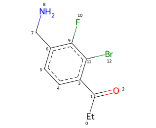 CCC(=O)c1ccc(CN)c(F)c1Br